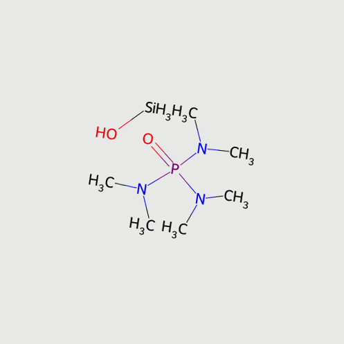 CN(C)P(=O)(N(C)C)N(C)C.O[SiH3]